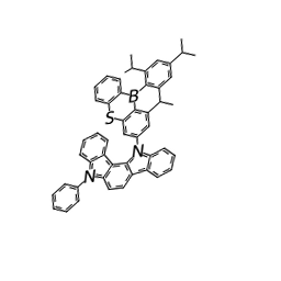 CC(C)c1cc(C(C)C)c2c(c1)C(C)c1cc(-n3c4ccccc4c4ccc5c(c6ccccc6n5-c5ccccc5)c43)cc3c1B2c1ccccc1S3